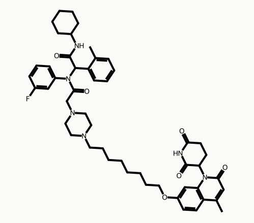 Cc1ccccc1C(C(=O)NC1CCCCC1)N(C(=O)CN1CCN(CCCCCCCCOc2ccc3c(C)cc(=O)n(C4CCC(=O)NC4=O)c3c2)CC1)c1cccc(F)c1